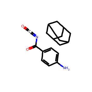 C1C2CC3CC1CC(C2)C3.Nc1ccc(C(=O)N=C=O)cc1